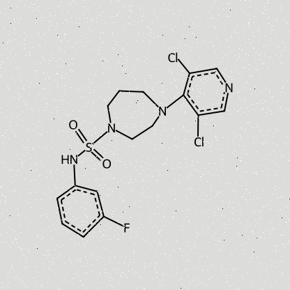 O=S(=O)(Nc1cccc(F)c1)N1CCCN(c2c(Cl)cncc2Cl)CC1